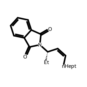 CCCCCCC/C=C\[C@H](CC)N1C(=O)c2ccccc2C1=O